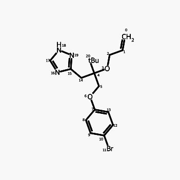 C=CCOC(COc1ccc(Br)cc1)(Cc1nc[nH]n1)C(C)(C)C